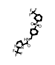 O=C(NCc1ccc(S(=O)(=O)c2cccc(C(F)(F)F)c2)cc1)c1ccnc(C(F)(F)F)n1